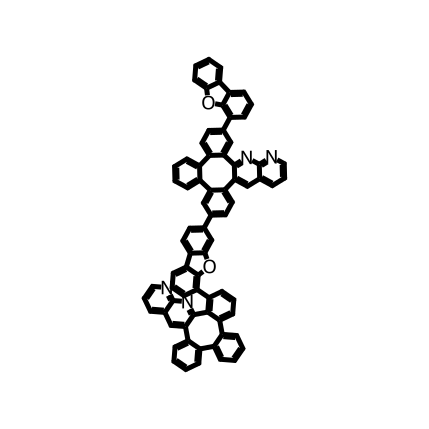 c1ccc2c(c1)-c1cc(-c3ccc4c(c3)oc3c(-c5cccc6c5-c5nc7ncccc7cc5-c5ccccc5-c5ccccc5-6)cccc34)ccc1-c1cc3cccnc3nc1-c1cc(-c3cccc4c3oc3ccccc34)ccc1-2